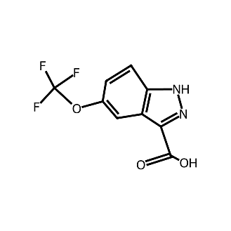 O=C(O)c1n[nH]c2ccc(OC(F)(F)F)cc12